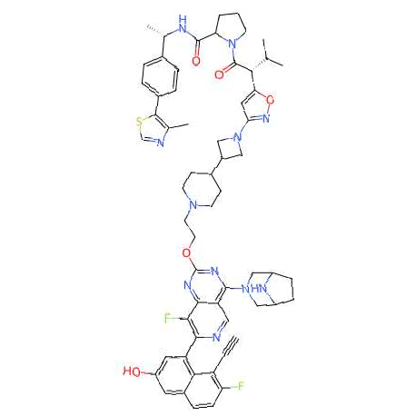 C#Cc1c(F)ccc2cc(O)cc(-c3ncc4c(N5CC6CCC(C5)N6)nc(OCCN5CCC(C6CN(c7cc([C@H](C(=O)N8CCCC8C(=O)N[C@@H](C)c8ccc(-c9scnc9C)cc8)C(C)C)on7)C6)CC5)nc4c3F)c12